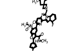 CCCC1(CCC)CN(CC2=Nc3ccc(-c4cc5c(C(=O)NC)c(-c6ccc(F)cc6)oc5cc4N(C)[S+](C)[O-])nc3C3=CC4C(=CC=CC4F)N32)C1